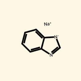 [Na+].c1ccc2[n-]cnc2c1